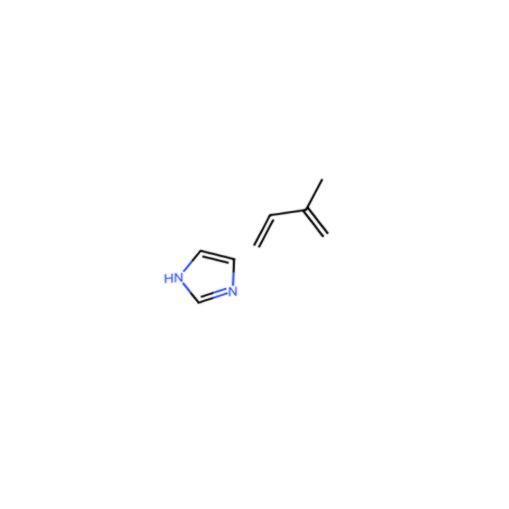 C=CC(=C)C.c1c[nH]cn1